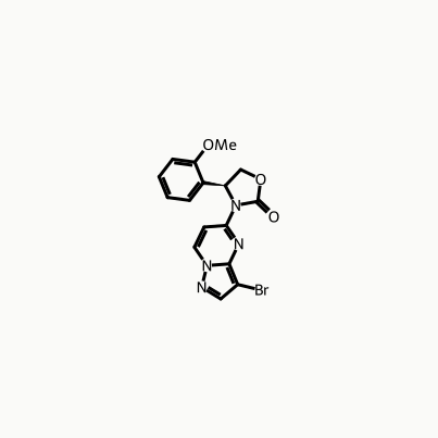 COc1ccccc1[C@H]1COC(=O)N1c1ccn2ncc(Br)c2n1